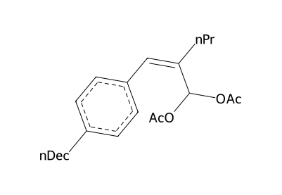 CCCCCCCCCCc1ccc(C=C(CCC)C(OC(C)=O)OC(C)=O)cc1